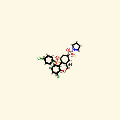 O=S(=O)(C1CC[C@]2(S(=O)(=O)c3ccc(Cl)cc3)c3c(F)ccc(F)c3OC[C@@H]2C1)N1CCCC1